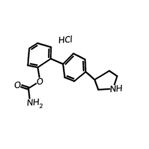 Cl.NC(=O)Oc1ccccc1-c1ccc(C2CCNC2)cc1